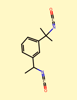 CC(N=C=O)c1cccc(C(C)(C)N=C=O)c1